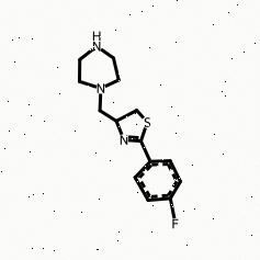 Fc1ccc(C2=NC(CN3CCNCC3)CS2)cc1